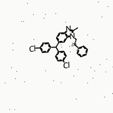 Cc1nc2ccc(C(c3ccc(Cl)cc3)c3ccc(Cl)cc3)cc2n1C[C@@H](C)c1ccccc1